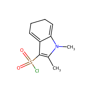 Cc1c(S(=O)(=O)Cl)c2c(n1C)=CCCC=2